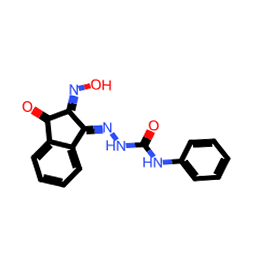 O=C(N/N=c1/c(=N\O)c(=O)c2ccccc12)Nc1ccccc1